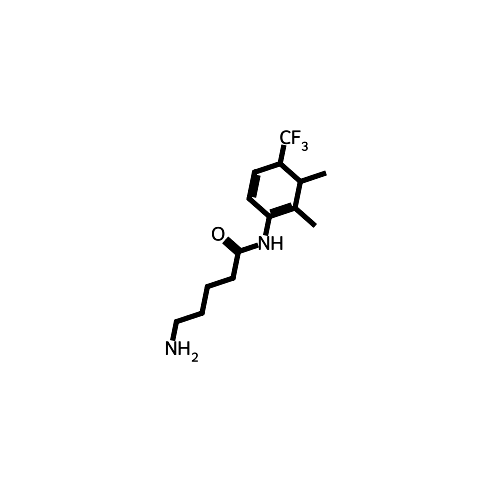 CC1=C(NC(=O)CCCCN)C=CC(C(F)(F)F)C1C